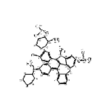 Cn1c(-c2ccc(Cl)cc2)c(C(=C2C=CC(=[N+](C)C3CCCCC3)C=C2)c2ccccc2Cl)c2ccccc21.[Cl][Zn-]([Cl])[Cl].[Cl][Zn-]([Cl])[Cl].[NH3+]C1CCCCC1